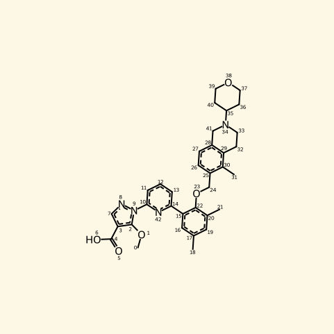 COc1c(C(=O)O)cnn1-c1cccc(-c2cc(C)cc(C)c2OCc2ccc3c(c2C)CCN(C2CCOCC2)C3)n1